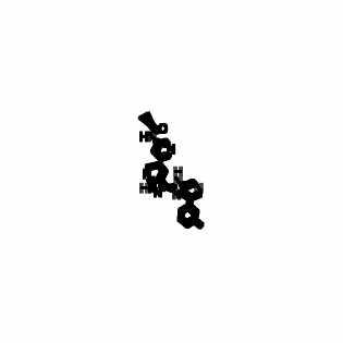 CC1=CCCC(c2cncc3[nH]c(-c4n[nH]c5c4=C[C@@H](c4cncc(NC(=O)C6CC6)c4)CN=5)nc23)=C1